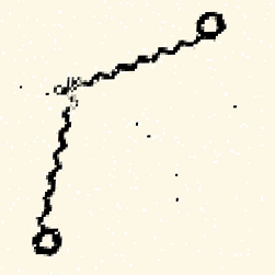 O=[PH](OCCCCCCCCCCCc1ccccc1)OCCCCCCCCCCCc1ccccc1